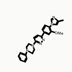 COc1cc(-c2ccc(N3CCN(c4ccccc4)CC3)nn2)ccc1-n1cnc(C)c1